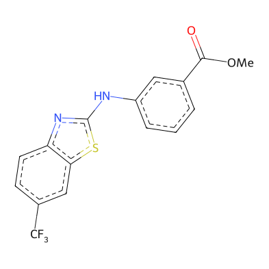 COC(=O)c1cccc(Nc2nc3ccc(C(F)(F)F)cc3s2)c1